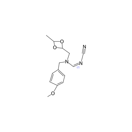 COc1ccc(CN(/C=N\C#N)CC2OC(C)O2)cc1